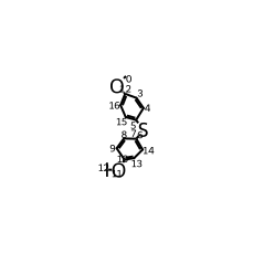 COc1ccc(Sc2ccc(OI)cc2)cc1